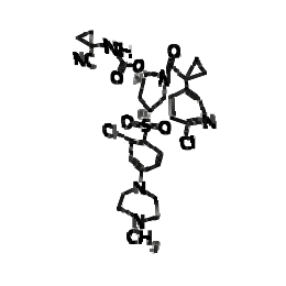 CN1CCN(c2ccc(S(=O)(=O)[C@@H]3C[C@H](OC(=O)NC4(C#N)CC4)N(C(=O)C4(c5ccc(Cl)nc5)CC4)C3)c(Cl)c2)CC1